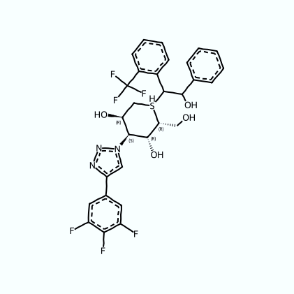 OC[C@@H]1[C@H](O)[C@@H](n2cc(-c3cc(F)c(F)c(F)c3)nn2)[C@@H](O)C[SH]1C(c1ccccc1C(F)(F)F)C(O)c1ccccc1